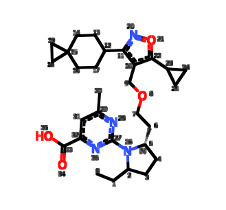 CCC1CC[C@@H](CCOCc2c(C3CCC4(CC3)CC4)noc2C2CC2)N1c1nc(C)cc(C(=O)O)n1